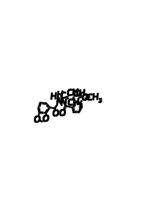 CCc1c(OC)cccc1C(=O)N(NC(=O)c1cccc2c1OCO2)C(C)(C)C